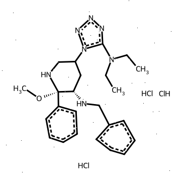 CCN(CC)c1nnnn1C1CN[C@](OC)(c2ccccc2)[C@@H](NCc2ccccc2)C1.Cl.Cl.Cl